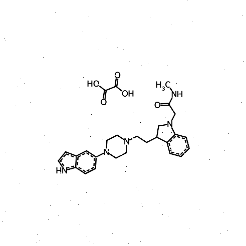 CNC(=O)CN1CC(CCN2CCN(c3ccc4[nH]ccc4c3)CC2)c2ccccc21.O=C(O)C(=O)O